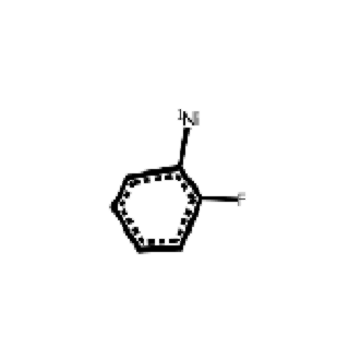 Fc1cccc[c]1[1Ni]